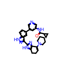 O=C(Nc1cncc(-c2ccc3[nH]nc(-c4nc5c([nH]4)CCC=C5N4CCCCC4)c3c2)c1)C1CC1